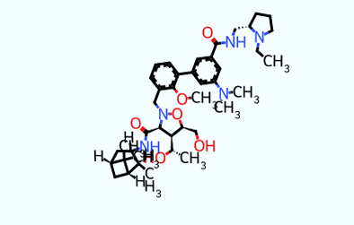 CCN1CCC[C@H]1CNC(=O)c1cc(-c2cccc(CN3O[C@@H](CO)[C@@H]([C@H](C)O)[C@H]3C(=O)N[C@H]3C[C@H]4C[C@@H]([C@@H]3C)C4(C)C)c2OC)cc(N(C)C)c1